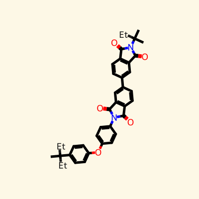 CCC(C)(CC)c1ccc(Oc2ccc(N3C(=O)c4ccc(-c5ccc6c(c5)C(=O)N(C(C)(C)CC)C6=O)cc4C3=O)cc2)cc1